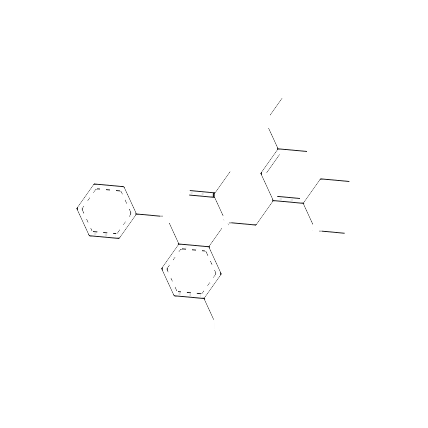 CC/C(OC)=C(\C=C(/C)OC)CN(C(C)=O)c1cc(F)ccc1Oc1ccccc1